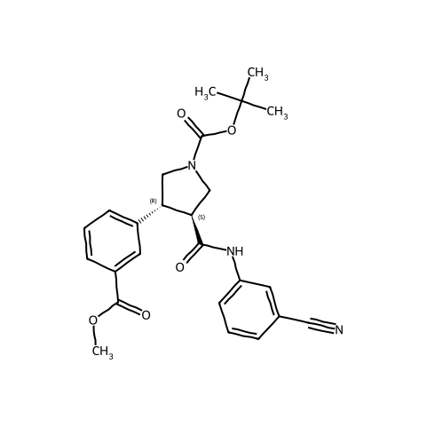 COC(=O)c1cccc([C@@H]2CN(C(=O)OC(C)(C)C)C[C@H]2C(=O)Nc2cccc(C#N)c2)c1